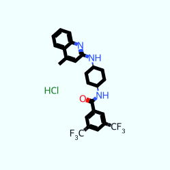 Cc1cc(N[C@H]2CC[C@@H](NC(=O)c3cc(C(F)(F)F)cc(C(F)(F)F)c3)CC2)nc2ccccc12.Cl